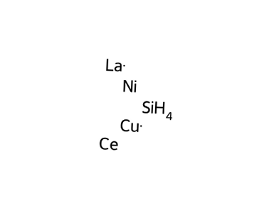 [Ce].[Cu].[La].[Ni].[SiH4]